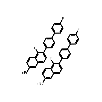 CCCCc1ccc2c(F)c(-c3ccc(-c4ccc(F)cc4)cc3)ccc2c1.CCCc1ccc2c(F)c(-c3ccc(-c4ccc(F)cc4)cc3)ccc2c1